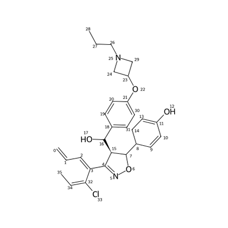 C=C/C=C(C1=NOC(C2C=CC(O)=CC2)[C@@H]1C(O)c1ccc(OC2CN(CCC)C2)cc1)\C(Cl)=C/C